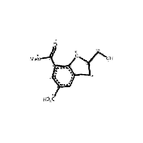 CNC(=O)c1cc(C(=O)O)cc2c1OC(CO)C2